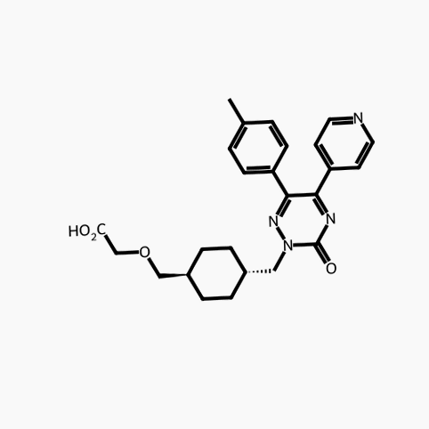 Cc1ccc(-c2nn(C[C@H]3CC[C@H](COCC(=O)O)CC3)c(=O)nc2-c2ccncc2)cc1